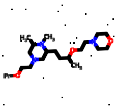 CC(C)OCCN1CC(C)N(C)C(CCC(C)OCCN2CCOCC2)C1